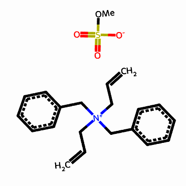 C=CC[N+](CC=C)(Cc1ccccc1)Cc1ccccc1.COS(=O)(=O)[O-]